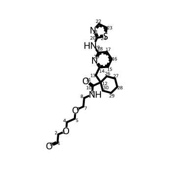 O=CCOCCOCCNC(=O)C1(Cc2cccc(Nc3nccs3)n2)CCCCC1